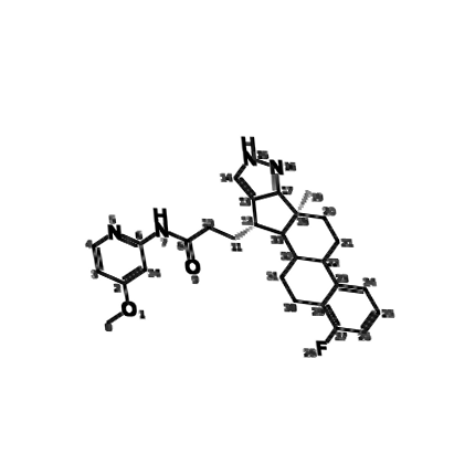 COc1ccnc(NC(=O)CC[C@@H]2c3c[nH]nc3[C@@]3(C)CCC4c5cccc(F)c5CCC4C23)c1